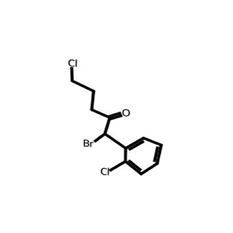 O=C(CCCCl)C(Br)c1ccccc1Cl